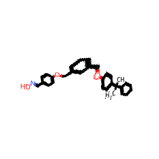 CC(C)(c1ccccc1)c1ccc(OCc2cccc(COc3ccc(/[C]=N/O)cc3)c2)cc1